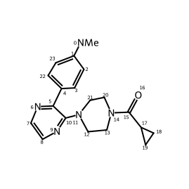 CNc1ccc(-c2nccnc2N2CCN(C(=O)C3CC3)CC2)cc1